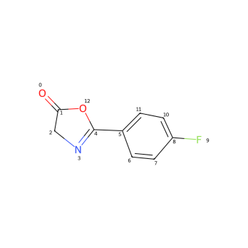 O=C1CN=C(c2ccc(F)cc2)O1